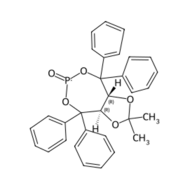 CC1(C)O[C@@H]2[C@@H](O1)C(c1ccccc1)(c1ccccc1)O[P](=O)OC2(c1ccccc1)c1ccccc1